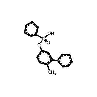 Cc1ccc(OP(=O)(O)c2ccccc2)cc1-c1ccccc1